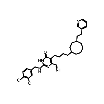 N=Cc1nc(NCc2ccc(Cl)c(Cl)c2)[nH]c(=O)c1CCCCC1CCCCC(CCc2cccnc2)CC1